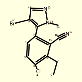 CCc1c(Cl)ccc(-c2c(Br)cnn2C)c1C#N